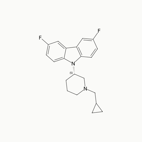 Fc1ccc2c(c1)c1cc(F)ccc1n2[C@H]1CCCN(CC2CC2)C1